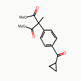 COC(=O)C(C)(C(=O)OC)c1ccc(C(=O)C2CC2)cc1